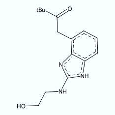 CC(C)(C)C(=O)Cc1cccc2[nH]c(NCCO)nc12